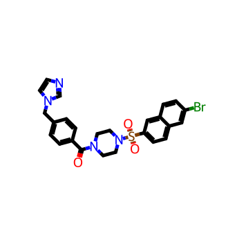 O=C(c1ccc(Cn2ccnc2)cc1)N1CCN(S(=O)(=O)c2ccc3cc(Br)ccc3c2)CC1